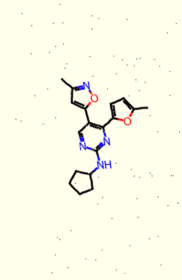 Cc1cc(-c2cnc(NC3CCCC3)nc2-c2ccc(C)o2)on1